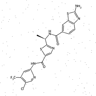 C[C@@H](NC(=O)c1ccc2nc(N)sc2c1)c1ncc(C(=O)Nc2cc(C(F)(F)F)c(Cl)cn2)s1